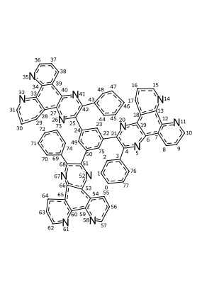 c1ccc(-c2nc3c4cccnc4c4ncccc4c3nc2-c2cc(-c3nc4c5cccnc5c5ncccc5c4nc3-c3ccccc3)cc(-c3nc4c5cccnc5c5ncccc5c4nc3-c3ccccc3)c2)cc1